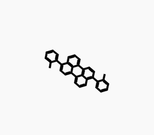 Cc1ccccc1-c1ccc2c3cccc4c(-c5ccccc5C)ccc(c5cccc1c52)c43